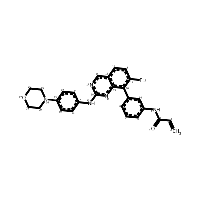 C=CC(=O)Nc1cccc(-c2c(F)ccc3cnc(Nc4ccc(N5CCOCC5)cc4)nc23)c1